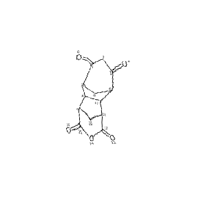 O=C1CC(=O)C2CC1C1C3CC(C(=O)OC3=O)C21